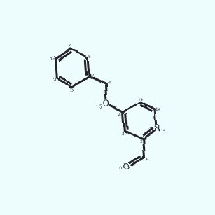 O=Cc1cc(OCc2ccccc2)ccn1